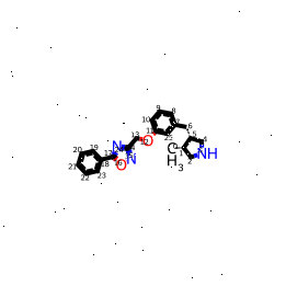 C[C@H]1CNC[C@H]1Cc1cccc(OCc2noc(-c3ccccc3)n2)c1